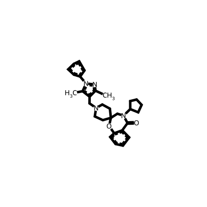 Cc1nn(-c2ccccc2)c(C)c1CN1CCC2(CC1)CN(C1CCCC1)C(=O)c1ccccc1O2